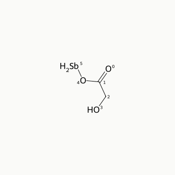 O=C(CO)[O][SbH2]